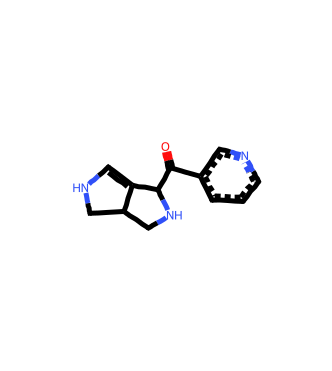 O=C(c1cccnc1)C1NCC2CNC=C21